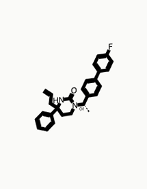 C=CCC1(c2ccccc2)CCN([C@@H](C)c2ccc(-c3ccc(F)cc3)cc2)C(=O)N1